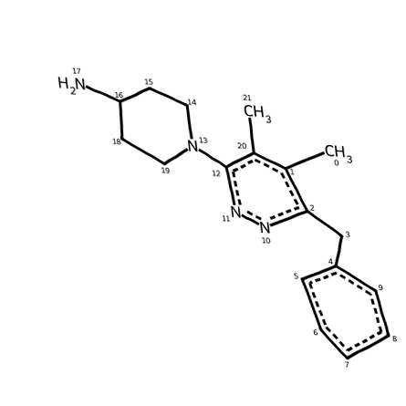 Cc1c(Cc2ccccc2)nnc(N2CCC(N)CC2)c1C